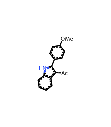 COc1ccc(-c2[nH]c3ccccc3c2C(C)=O)cc1